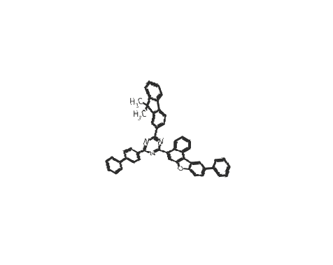 CC1(C)c2ccccc2-c2ccc(-c3nc(-c4ccc(-c5ccccc5)cc4)nc(-c4cc5oc6ccc(-c7ccccc7)cc6c5c5ccccc45)n3)cc21